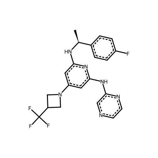 C[C@H](Nc1cc(N2CC(C(F)(F)F)C2)cc(Nc2cnccn2)n1)c1ccc(F)cc1